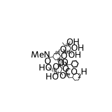 CNC(=O)C1C[C@@H](C)C(O[C@@H]2OC(C)[C@@H](O)C(O)[C@@H]2O)[C@H](O[C@@H]2O[C@@H](CO)[C@H](O)C(O[C@@H](CC3CCCCC3)C(=O)O)C2OC(=O)c2ccccc2)C1